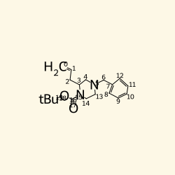 C=CCC1CN(Cc2ccccc2)CCN1C(=O)OC(C)(C)C